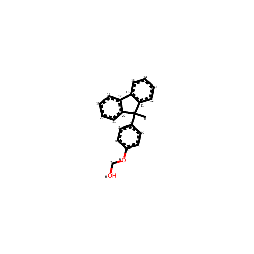 CC1(c2ccc(OCO)cc2)c2ccccc2-c2ccccc21